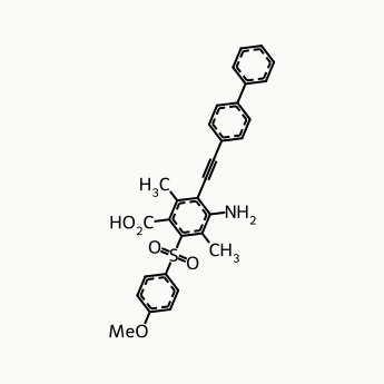 COc1ccc(S(=O)(=O)c2c(C)c(N)c(C#Cc3ccc(-c4ccccc4)cc3)c(C)c2C(=O)O)cc1